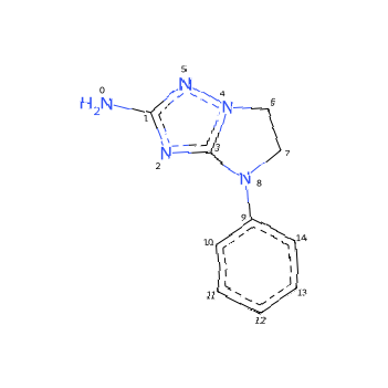 Nc1nc2n(n1)CCN2c1ccccc1